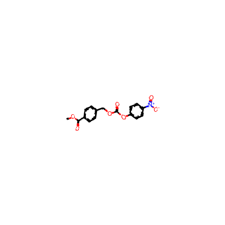 COC(=O)c1ccc(COC(=O)Oc2ccc([N+](=O)[O-])cc2)cc1